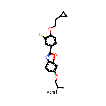 CC(=O)N[C@@H](C)COc1ccc2nc(-c3ccc(OCCC4CC4)c(F)c3)oc2c1